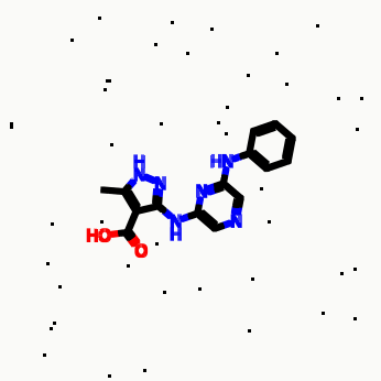 Cc1[nH]nc(Nc2cncc(Nc3ccccc3)n2)c1C(=O)O